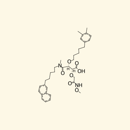 CONC(=O)CO[C@@H](C(=O)O)[C@@H](OCCCCCc1ccc(C)c(C)c1)C(=O)N(C)CCCCCc1ccc2ccccc2c1